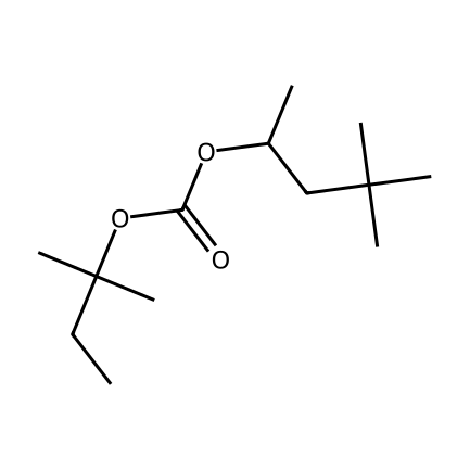 CCC(C)(C)OC(=O)OC(C)CC(C)(C)C